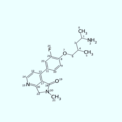 CC(N)CC(C)COc1ccc(-c2ccnc3c2C(=O)N(C)C3)cc1F